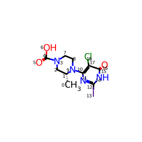 C[C@@H]1CN(C(=O)O)CCN1c1nc(I)[nH]c(=O)c1Cl